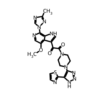 COc1cnc(-n2cnc(C)n2)c2[nH]cc(C(=O)C(=O)N3CCN(c4nn[nH]c4-c4nccs4)CC3)c12